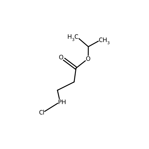 CC(C)OC(=O)CCPCl